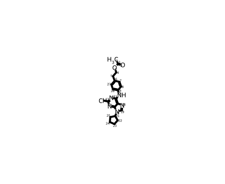 CC(=O)OCCc1ccc(Nc2nc(Cl)nc3c2ncn3C2CCCC2)cc1